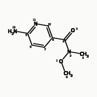 CON(C)C(=O)c1ccc(N)nc1